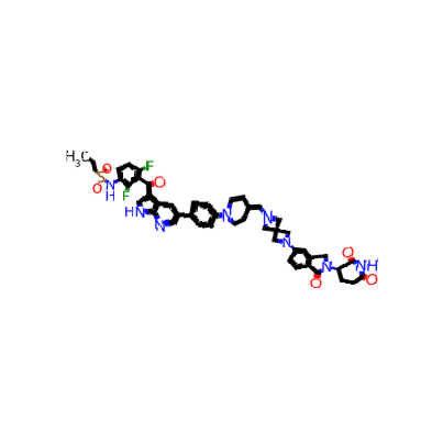 CCCS(=O)(=O)Nc1ccc(F)c(C(=O)c2c[nH]c3ncc(-c4ccc(N5CCC(CN6CC7(C6)CN(c6ccc8c(c6)CN([C@@H]6CCC(=O)NC6=O)C8=O)C7)CC5)cc4)cc23)c1F